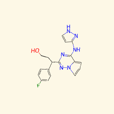 OCCC(c1ccc(F)cc1)c1nc(Nc2cc[nH]n2)c2cccn2n1